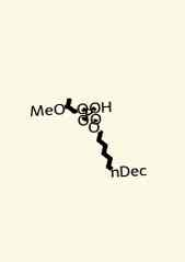 CCCCCCCCCCCCCCCCOOP(=O)(O)OCC(C)OC